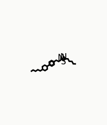 CCCCCc1nnc(CCc2ccc(C3CCC(CCCCC)CC3)cc2)s1